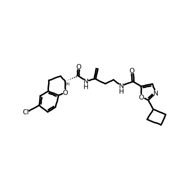 C=C(CCNC(=O)c1cnc(C2CCC2)o1)NC(=O)[C@H]1CCc2cc(Cl)ccc2O1